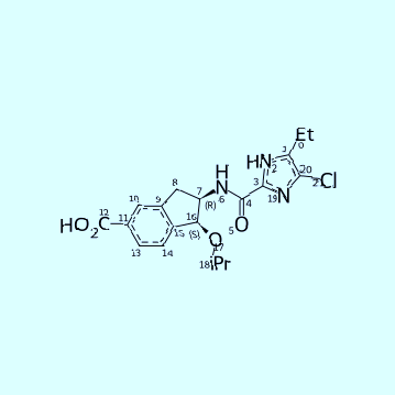 CCc1[nH]c(C(=O)N[C@@H]2Cc3cc(C(=O)O)ccc3[C@@H]2OC(C)C)nc1Cl